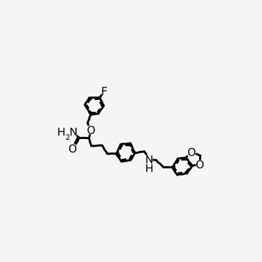 NC(=O)C(CCCc1ccc(CNCCc2ccc3c(c2)OCO3)cc1)OCc1ccc(F)cc1